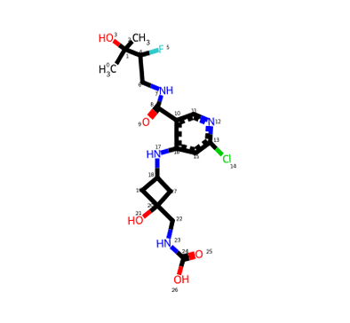 CC(C)(O)C(F)CNC(=O)c1cnc(Cl)cc1NC1CC(O)(CNC(=O)O)C1